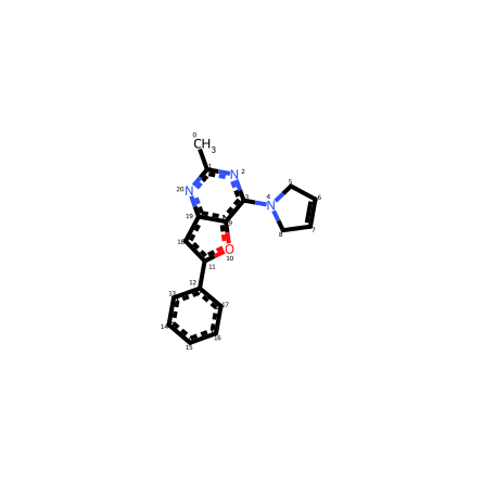 Cc1nc(N2CC=CC2)c2oc(-c3ccccc3)cc2n1